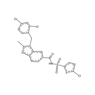 Cc1oc2ccc(C(=O)NS(=O)(=O)c3ccc(Cl)s3)cc2c1Cc1ccc(Cl)cc1Cl